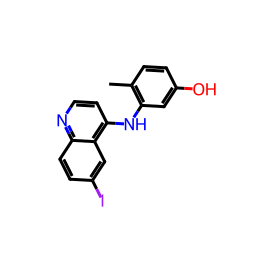 Cc1ccc(O)cc1Nc1ccnc2ccc(I)cc12